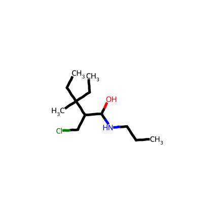 CCCNC(O)C(CCl)C(C)(CC)CC